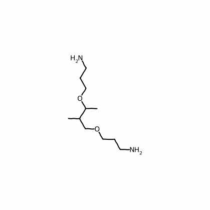 CC(COCCCN)C(C)OCCCN